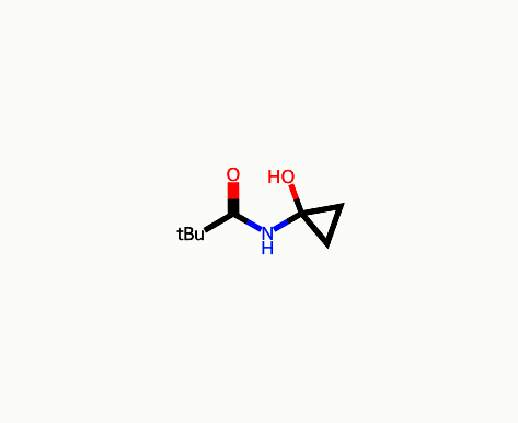 CC(C)(C)C(=O)NC1(O)CC1